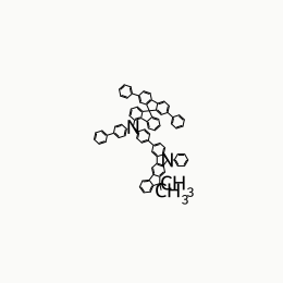 CC1(C)c2ccccc2-c2cc3c4cc(-c5ccc(N(c6ccc(-c7ccccc7)cc6)c6cccc7c6-c6ccccc6C76c7cc(-c8ccccc8)ccc7-c7ccc(-c8ccccc8)cc76)cc5)ccc4n(-c4ccccc4)c3cc21